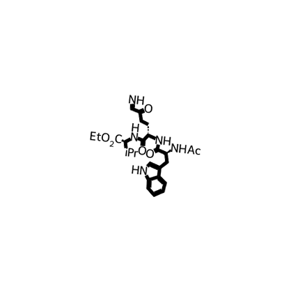 CCOC(=O)[C@@H](NC(=O)[C@H](CCC(=O)C=N)NC(=O)[C@H](Cc1c[nH]c2ccccc12)NC(C)=O)C(C)C